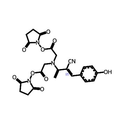 C=C(/C(C#N)=C/c1ccc(O)cc1)N(CC(=O)ON1C(=O)CCC1=O)CC(=O)ON1C(=O)CCC1=O